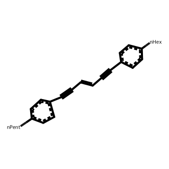 CCCCCCc1ccc(C#C/C=C/C#Cc2ccc(CCCCC)cc2)cc1